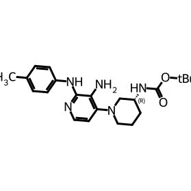 Cc1ccc(Nc2nccc(N3CCC[C@@H](NC(=O)OC(C)(C)C)C3)c2N)cc1